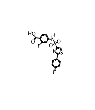 O=C(O)c1ccc(NS(=O)(=O)c2csc(-c3ccc(F)cc3)n2)cc1F